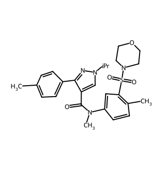 Cc1ccc(-c2nn(C(C)C)cc2C(=O)N(C)c2ccc(C)c(S(=O)(=O)N3CCOCC3)c2)cc1